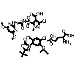 CC(C)Oc1cc(-n2nc(C(C)(C)C)oc2=O)c(Cl)cc1Cl.COc1cc(OC)nc(NC(=O)NS(=O)(=O)c2c(C(=O)O)c(Cl)nn2C)n1.CP(=O)(O)CCC(N)C(=O)O